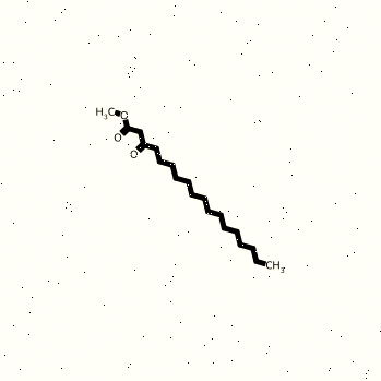 CCCCCCCCCCCCCCCC(=O)CC(=O)OC